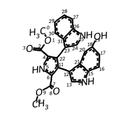 COC(=O)c1[nH]c(C(=O)OC)c(-c2c[nH]c3ccc(O)cc23)c1-c1c[nH]c2ccccc12